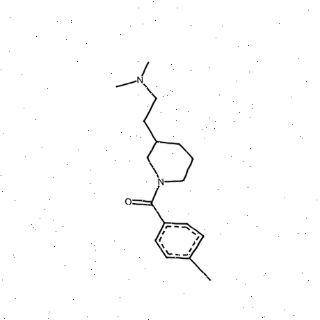 Cc1ccc(C(=O)N2CCCC(CCN(C)C)C2)cc1